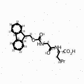 CC(C)C[C@H](NC(=O)CNC(=O)OCC1c2ccccc2-c2ccccc21)C(=O)O